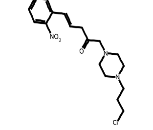 O=C(CC=Cc1ccccc1[N+](=O)[O-])CN1CCN(CCCCl)CC1